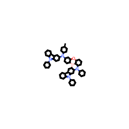 Cc1ccc(N(c2ccc3c(c2)Oc2cccc4c2B3c2cc3c5ccccc5n(-c5ccccc5)c3cc2N4c2ccccc2)c2ccc3c(c2)c2ccccc2n3-c2ccccc2)cc1